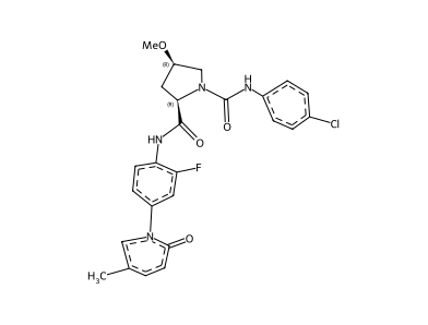 CO[C@@H]1C[C@H](C(=O)Nc2ccc(-n3cc(C)ccc3=O)cc2F)N(C(=O)Nc2ccc(Cl)cc2)C1